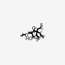 CCO/C=C(\C(=O)O)C(=O)C(CCF)(CCF)CCF